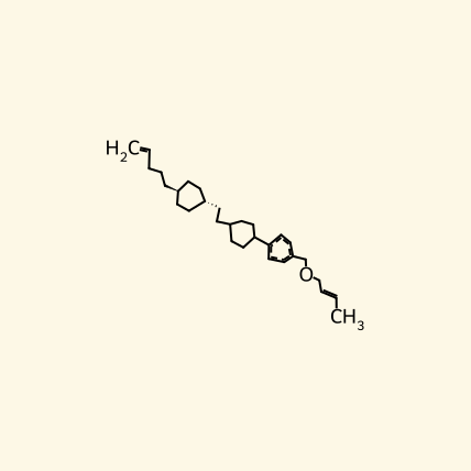 C=CCCC[C@H]1CC[C@H](CCC2CCC(c3ccc(COCC=CC)cc3)CC2)CC1